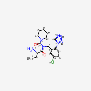 CC(C)(C)C[C@@H](N)C(=O)N(Cc1cc(Cl)ccc1-n1cnnn1)C(=O)N1CCCCC1